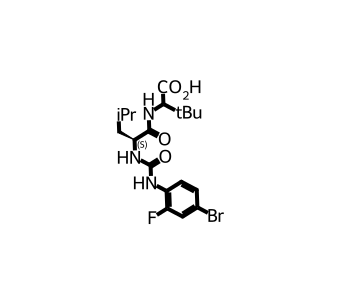 CC(C)C[C@H](NC(=O)Nc1ccc(Br)cc1F)C(=O)NC(C(=O)O)C(C)(C)C